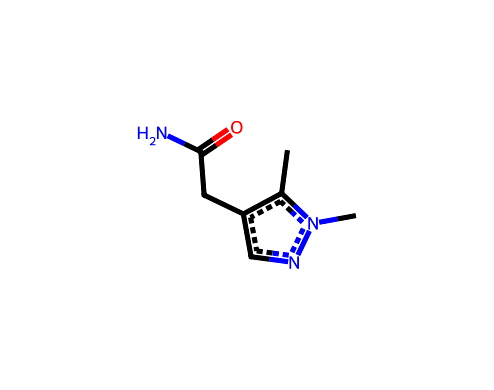 Cc1c(CC(N)=O)cnn1C